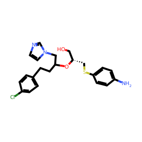 Nc1ccc(SC[C@@H](CO)OC(CCc2ccc(Cl)cc2)Cn2ccnc2)cc1